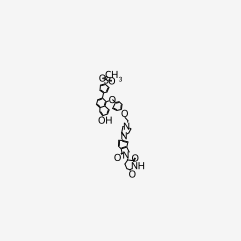 CS(=O)(=O)c1ccc(-c2ccc3cc(O)ccc3c2Oc2ccc(OCCN3CCN(c4ccc5c(c4)CN(C4CCC(=O)NC4=O)C5=O)CC3)cc2)cc1